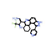 N=C(/C(=C\N)c1nc2ccc3[nH]nc(-c4ccncc4)c3c2c2c1CCCC2)C(F)(F)F